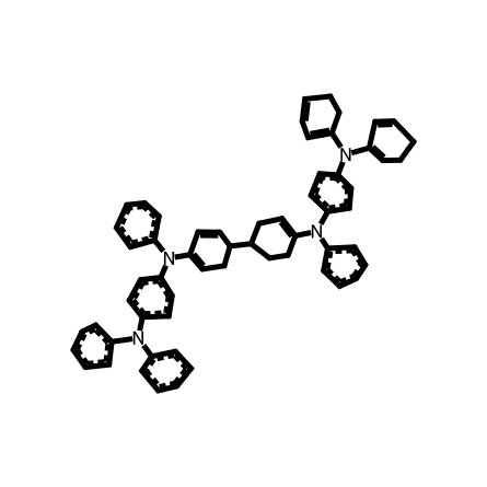 C1=CCCC(N(C2=CCCC=C2)c2ccc(N(C3=CCC(C4C=CC(N(c5ccccc5)c5ccc(N(c6ccccc6)c6ccccc6)cc5)=CC4)CC3)c3ccccc3)cc2)=C1